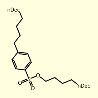 CCCCCCCCCCCCCCOS(=O)(=O)c1ccc(CCCCCCCCCCCCCC)cc1